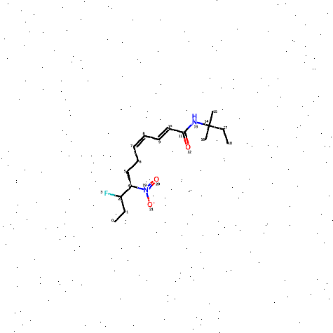 CCC(F)[C@@H](CC/C=C\C=C\C(=O)NC(C)(C)CC)[N+](=O)[O-]